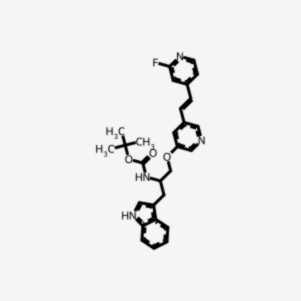 CC(C)(C)OC(=O)NC(COc1cncc(C=Cc2ccnc(F)c2)c1)Cc1c[nH]c2ccccc12